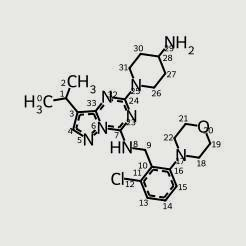 CC(C)c1cnn2c(NCc3c(Cl)cccc3N3CCOCC3)nc(N3CCC(N)CC3)nc12